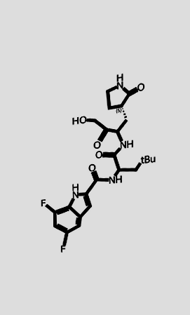 CC(C)(C)CC(NC(=O)c1cc2cc(F)cc(F)c2[nH]1)C(=O)NC(C[C@@H]1CCNC1=O)C(=O)CO